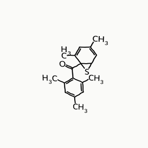 CC1=CC2SC2(C(=O)c2c(C)cc(C)cc2C)C(C)=C1